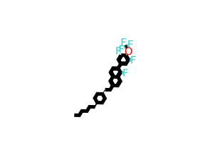 CCCCCC[C@H]1CC[C@H](CCc2ccc3c(F)c(-c4cc(F)c(OC(F)(F)F)c(F)c4)ccc3c2)CC1